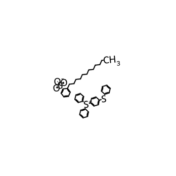 CCCCCCCCCCCCc1ccccc1S(=O)(=O)[O-].c1ccc(Sc2ccc([S+](c3ccccc3)c3ccccc3)cc2)cc1